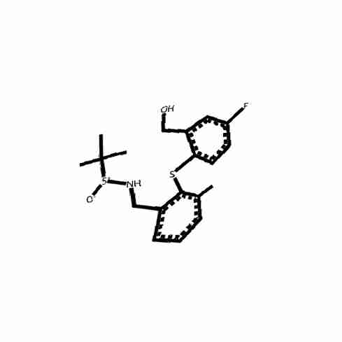 Cc1cccc(CN[S+]([O-])C(C)(C)C)c1Sc1ccc(F)cc1CO